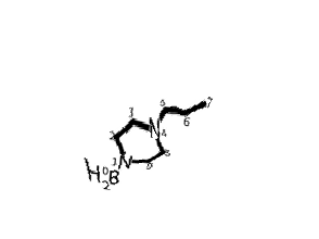 BN1CCN(CCC)CC1